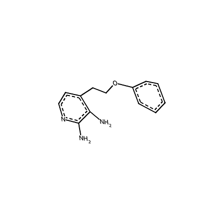 Nc1nccc(CCOc2ccccc2)c1N